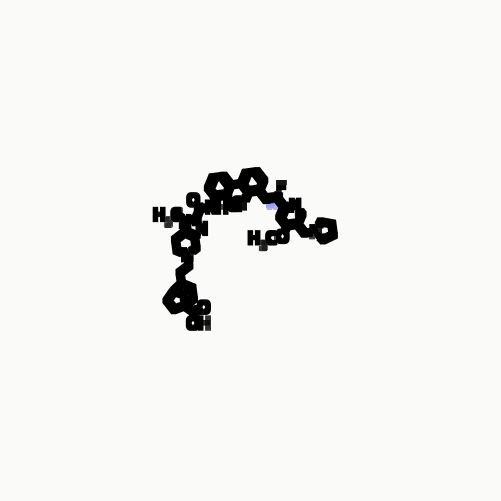 COc1cc(/C(F)=C/c2cccc(-c3cccc(NC(=O)c4nc5c(n4C)CCN(CCC4CCC6(C(=O)O)CCC4C6)C5)c3Cl)c2Cl)ncc1CN1CCCC1